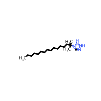 CCCCCCCCCCCCCCC(C)(C)N1C=NNN1